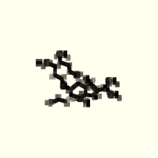 CCCCO[C@@H]1[C@H]2N=C(N(C)C)S[C@H]2O[C@H](CCF)[C@H]1OCCCC